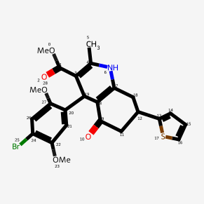 COC(=O)C1=C(C)NC2=C(C(=O)CC(c3cccs3)C2)C1c1cc(OC)c(Br)cc1OC